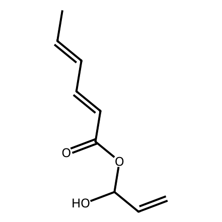 C=CC(O)OC(=O)C=CC=CC